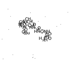 CCC(=O)N1c2ccccc2[C@H](Nc2ccc(NC(=O)CCNC(=O)c3ccc(C4=N[C@@H](CC(=O)OC(C)(C)C)c5nnc(C)n5-c5sc(C)c(C)c54)cc3)cc2)C[C@@H]1C